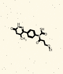 CCOCCC(=O)N(C(=O)S)c1ccc(C2=NNC(=O)CC2C)cc1